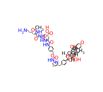 CC(=O)N[C@@H](CCCCN)C(=O)NCC(=O)N[C@@H](CCC(=O)O)C(=O)Nc1ccc(COC(=O)Nc2nc(Cc3ccc([C@@H]4O[C@@H]5C[C@H]6[C@@H]7CCC8=CC(=O)C=C[C@]8(C)[C@H]7[C@@H](O)C[C@]6(C)[C@]5(C(=O)CO)O4)cc3)cs2)cc1